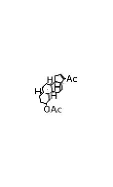 CC(=O)OC1CC[C@@H]2CC[C@@H]3[C@H](CC[C@]4(C)C(C(C)=O)=CC[C@@H]34)[C@@]2(C)C1